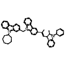 C/C(=C\C1c2ccccc2N(C2C=CC=CC2)C1C)c1ccc2c(c1)c1ccccc1n2Cc1ccc2c3ccccc3n(C3CCCCCC3)c2c1